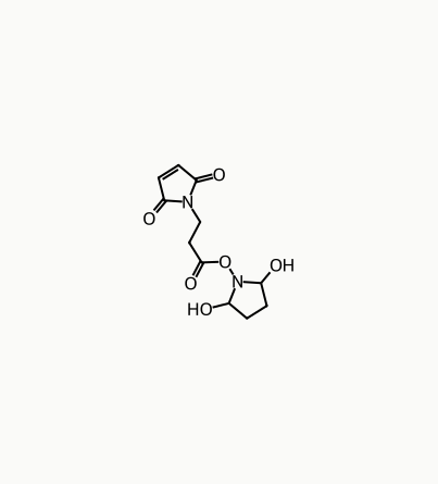 O=C(CCN1C(=O)C=CC1=O)ON1C(O)CCC1O